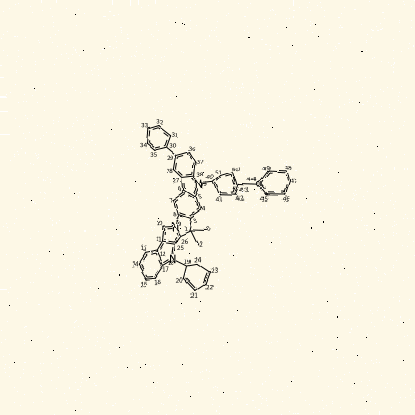 CC1(C)c2cc3c(cc2-n2cc4c5ccccc5n(C5C=CC=CC5)c4c21)c1cc(-c2ccccc2)ccc1n3-c1ccc(-c2ccccc2)cc1